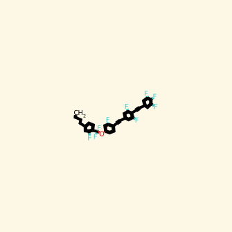 C=CCCc1ccc(C(F)(F)Oc2ccc(C#Cc3cc(F)c(C#Cc4cc(F)c(F)c(F)c4)c(F)c3)c(F)c2)c(F)c1